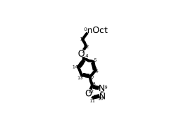 CCCCCCCCCCOc1ccc(-c2nnco2)cc1